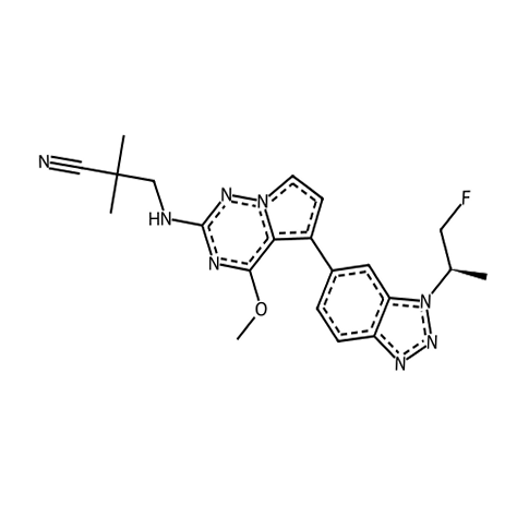 COc1nc(NCC(C)(C)C#N)nn2ccc(-c3ccc4nnn([C@H](C)CF)c4c3)c12